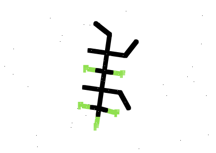 CCC(C)(CC)C(F)(F)C(C)(CC)C(F)(F)F